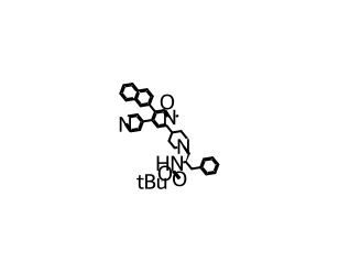 Cn1c(C2CCN(C[C@@H](Cc3ccccc3)NC(=O)OC(C)(C)C)CC2)cc(-c2ccncc2)c(-c2ccc3ccccc3c2)c1=O